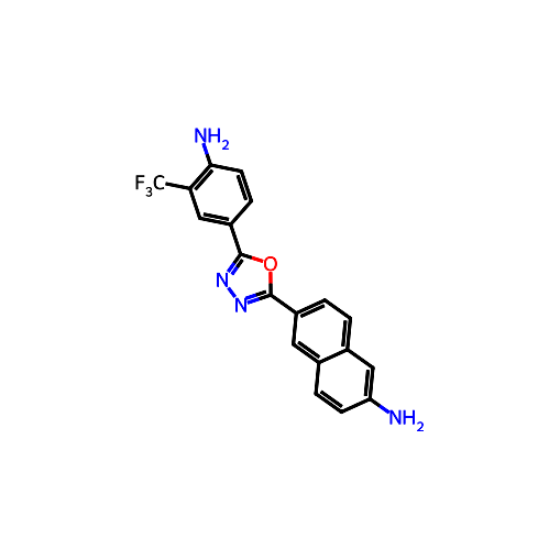 Nc1ccc2cc(-c3nnc(-c4ccc(N)c(C(F)(F)F)c4)o3)ccc2c1